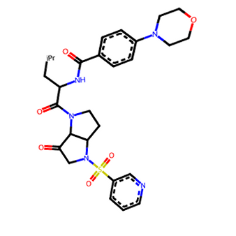 CC(C)CC(NC(=O)c1ccc(N2CCOCC2)cc1)C(=O)N1CCC2C1C(=O)CN2S(=O)(=O)c1cccnc1